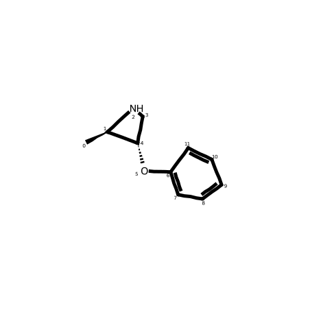 C[C@H]1NC[C@@H]1Oc1ccccc1